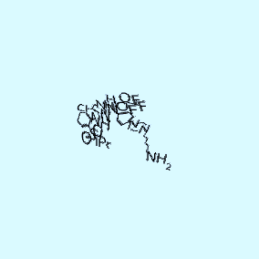 CC(C)S(=O)(=O)c1ccccc1Nc1nc(Nc2ccc(N3CCN(CCCCCCN)CC3)cc2)ncc1Cl.O=C(O)C(F)(F)F